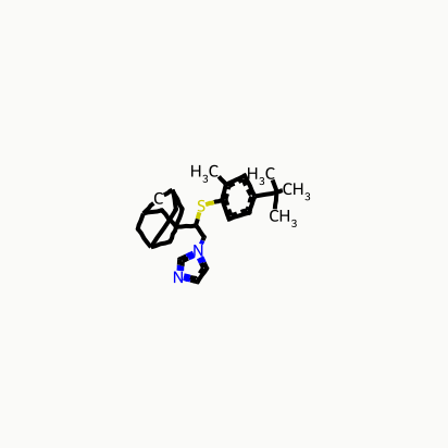 Cc1cc(C(C)(C)C)ccc1SC(Cn1ccnc1)C12CC3CC(CC(C3)C1)C2